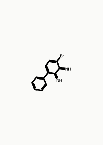 N=C1C(=N)C(c2ccccc2)=CC=C1Br